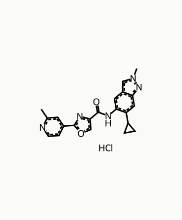 Cc1cc(-c2nc(C(=O)Nc3cc4cn(C)nc4cc3C3CC3)co2)ccn1.Cl